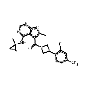 Cc1oc2ncnc(NC3(C)CC3)c2c1C(=O)N1CC(c2ncc(C(F)(F)F)cc2F)C1